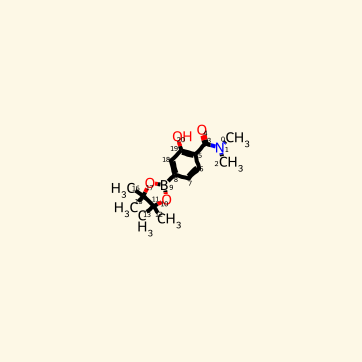 CN(C)C(=O)c1ccc(B2OC(C)(C)C(C)(C)O2)cc1O